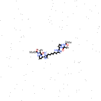 COC(=O)NC(C(=O)N1CCCC1c1ncc(CCCCCCc2cnc([C@@H]3CCCN3C(=O)C(NC(=O)OC)C(C)C)[nH]2)[nH]1)C(C)C